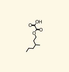 CCCC(C)CCOC(=O)C(=O)O